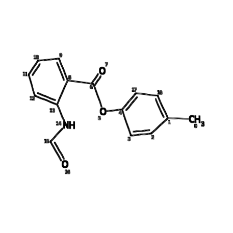 Cc1ccc(OC(=O)c2ccccc2NC=O)cc1